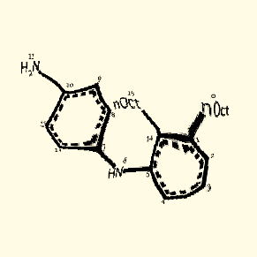 CCCCCCCCc1cccc(Nc2ccc(N)cc2)c1CCCCCCCC